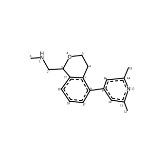 CNCC1OCCc2c(-c3cc(C)nc(C)c3)cccc21